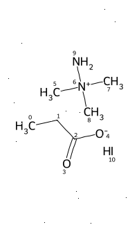 CCC(=O)[O-].C[N+](C)(C)N.I